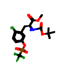 COC(=O)[C@H](Cc1cc(OS(=O)(=O)C(F)(F)F)ccc1Cl)NC(=O)OC(C)(C)C